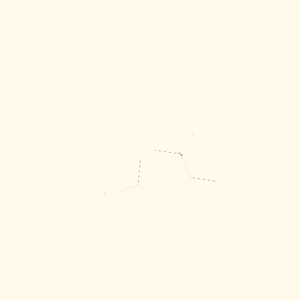 CC(=O)C(C)C.CC(C)O